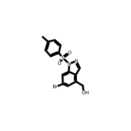 Cc1ccc(S(=O)(=O)n2ncc3c(CO)cc(Br)cc32)cc1